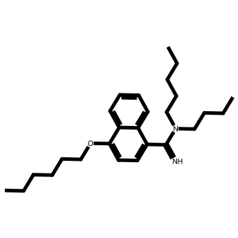 CCCCCCOc1ccc(C(=N)N(CCCC)CCCCC)c2ccccc12